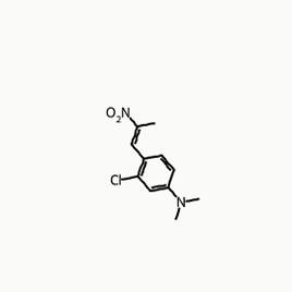 CC(=Cc1ccc(N(C)C)cc1Cl)[N+](=O)[O-]